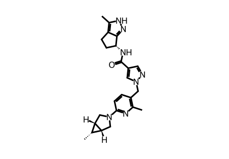 Cc1nc(N2C[C@@H]3[C@H](C)[C@@H]3C2)ccc1Cn1cc(C(=O)N[C@@H]2CCc3c2n[nH]c3C)cn1